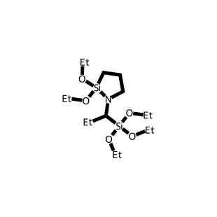 CCO[Si](OCC)(OCC)C(CC)N1CCC[Si]1(OCC)OCC